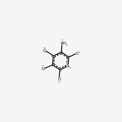 Nc1c(Cl)nc(Cl)c(Cl)c1Cl